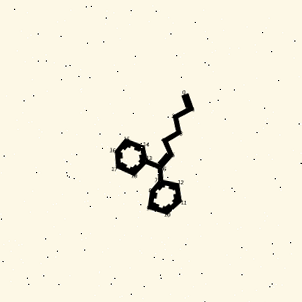 C=CCCCC=C(c1ccccc1)c1ccccc1